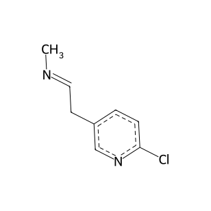 C/N=C/Cc1ccc(Cl)nc1